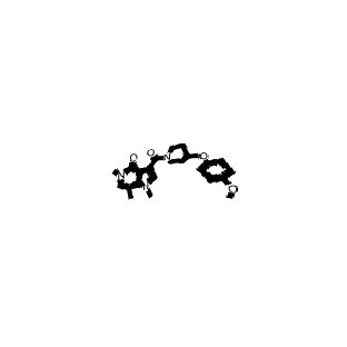 COc1ccc(OC2CCN(C(=O)c3cn(C)c4c(C)cn(C)c(=O)c34)CC2)cc1